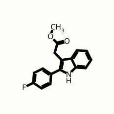 COC(=O)Cc1c(-c2ccc(F)cc2)[nH]c2ccccc12